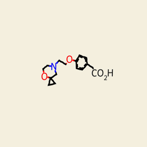 O=C(O)Cc1ccc(OCCN2CCOC3(CC3)C2)cc1